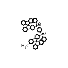 Cc1ccc2c(c1)C1(c3ccccc3-c3ccccc31)c1cc(P(=O)(c3ccccc3)c3ccc(P(=O)(c4ccccc4)c4ccc5c(c4)C4(c6ccccc6-c6ccccc64)c4ccccc4-5)cc3)ccc1-2